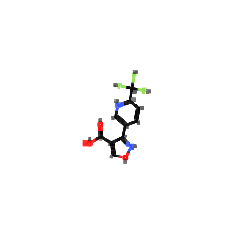 O=C(O)c1conc1-c1ccc(C(F)(F)F)nc1